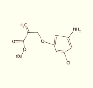 C=C(COc1cc(N)cc(Cl)c1)C(=O)OC(C)(C)C